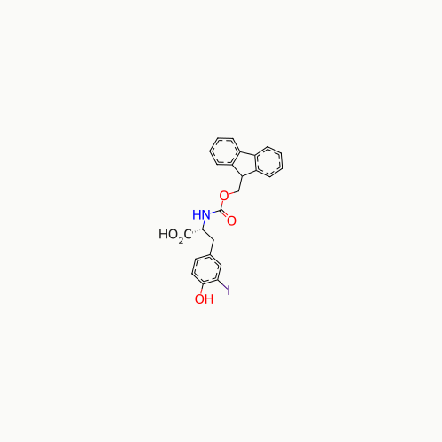 O=C(N[C@H](Cc1ccc(O)c(I)c1)C(=O)O)OCC1c2ccccc2-c2ccccc21